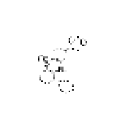 CC(=O)OC(C)C1CCC2=C(C1)N(CC1=CCCCC1)C1=C(CCCC1)[S+]2[O-]